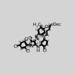 CCCCCCCCCCCCCCNc1ccc(Cl)c(Nc2[nH]n(-c3c(Cl)cc(Cl)cc3Cl)c(=O)c2N=Nc2ccc(O)c(C)c2)c1